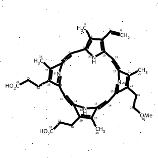 C=Cc1c(C)c2cc3nc(cc4[nH]c(cc5nc(cc1[nH]2)C(C)=C5CCOC)c(C)c4CCC(=O)O)C(CCC(=O)O)=C3C